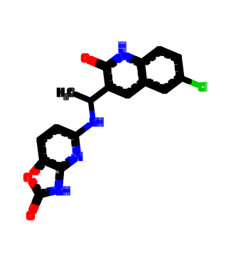 CC(Nc1ccc2oc(=O)[nH]c2n1)c1cc2cc(Cl)ccc2[nH]c1=O